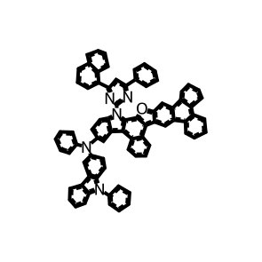 c1ccc(-c2cc(-c3cccc4ccccc34)nc(-n3c4ccc(N(c5ccccc5)c5ccc6c(c5)c5ccccc5n6-c5ccccc5)cc4c4c5ccccc5c5c6cc7c8ccccc8c8ccccc8c7cc6oc5c43)n2)cc1